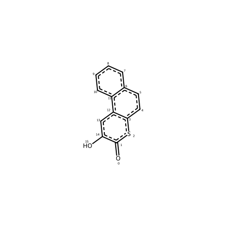 O=c1sc2ccc3ccccc3c2cc1O